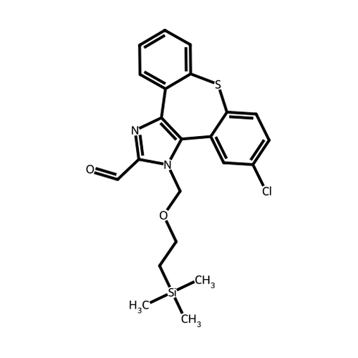 C[Si](C)(C)CCOCn1c(C=O)nc2c1-c1cc(Cl)ccc1Sc1ccccc1-2